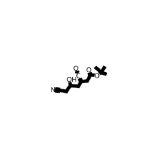 CC(C)(C)OC(=O)CC(=C=O)CC(O)CC#N